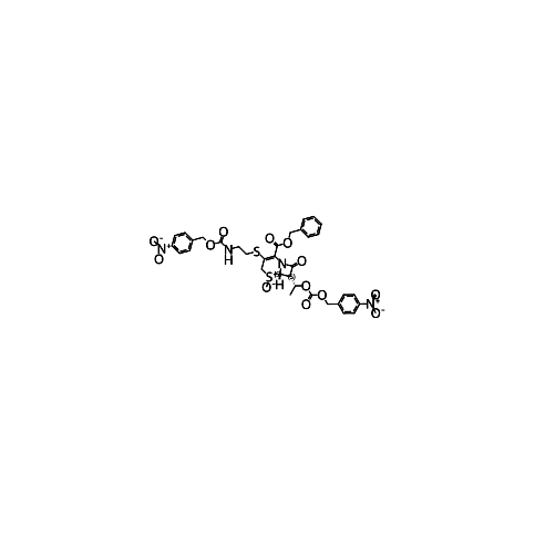 CC(OC(=O)OCc1ccc([N+](=O)[O-])cc1)[C@H]1C(=O)N2C(C(=O)OCc3ccccc3)=C(SCCNC(=O)OCc3ccc([N+](=O)[O-])cc3)C[S+]([O-])[C@@H]12